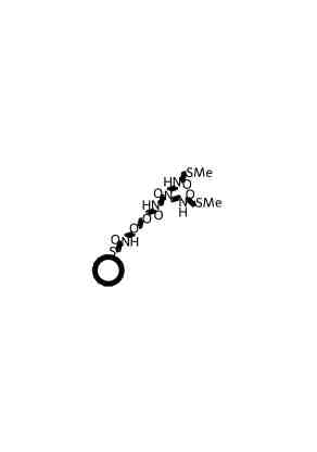 CSCC(=O)NCCN(CCNC(=O)CSC)C(=O)CNC(=O)COCCOCCNC(=O)CSC1CCCCCCCCCCCCC1